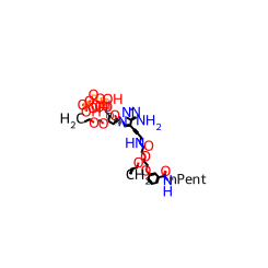 C=CCOCOC1C[C@H](n2cc(C#CCNC(=O)COC(COc3cccc(C(=O)NCCCCC)c3)OCC=C)c3c(N)ncnc32)O[C@@H]1COP(=O)(O)OP(=O)(O)OP(=O)(O)O